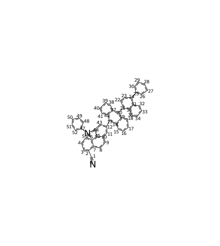 N#Cc1ccc2c3c1ccc1cc(-c4c5ccccc5c(-c5ccc(-c6ccccc6)c6ccccc56)c5ccccc45)cc(c13)n2-c1ccccc1